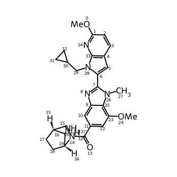 COc1ccc2cc(-c3nc4cc(C(=O)N5C[C@H]6CC[C@@H]5[C@@H]6N)cc(OC)c4n3C)n(CC3CC3)c2n1